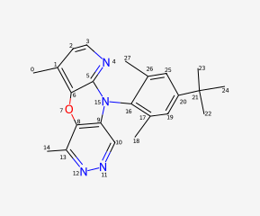 Cc1ccnc2c1Oc1c(cnnc1C)N2c1c(C)cc(C(C)(C)C)cc1C